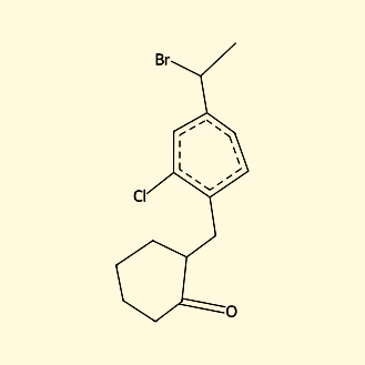 CC(Br)c1ccc(CC2CCCCC2=O)c(Cl)c1